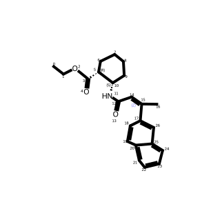 CCOC(=O)[C@@H]1CCCC[C@@H]1NC(=O)/C=C(/C)c1ccc2ccccc2c1